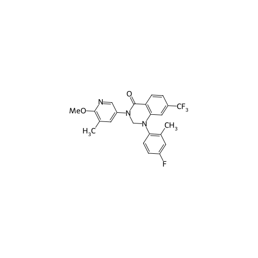 COc1ncc(N2CN(c3ccc(F)cc3C)c3cc(C(F)(F)F)ccc3C2=O)cc1C